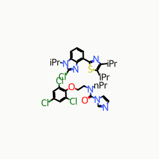 CC(C)c1nc(-c2cccc3c2nc(Cl)n3C(C)C)sc1C(C)C.CCCN(CCOc1c(Cl)cc(Cl)cc1Cl)C(=O)n1ccnc1